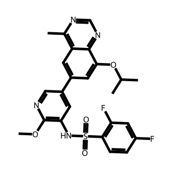 COc1ncc(-c2cc(OC(C)C)c3ncnc(C)c3c2)cc1NS(=O)(=O)c1ccc(F)cc1F